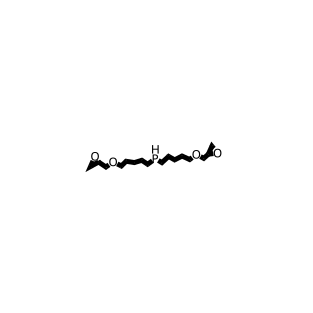 C(CCOCC1CO1)CCPCCCCCOCC1CO1